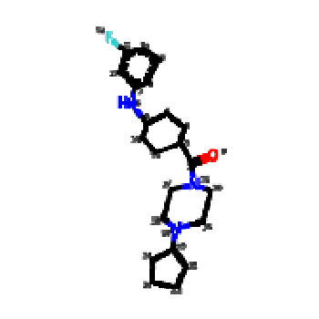 O=C(C1CCC(Nc2cccc(F)c2)CC1)N1CCN(C2CCCC2)CC1